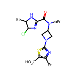 CCCN(C(=O)C1=NC(Cl)C(CC)N1)C1CN(c2nc(CC)c(C(=O)O)s2)C1